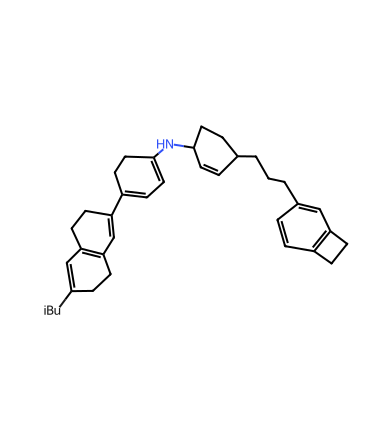 CCC(C)C1=CC2=C(C=C(C3=CC=C(NC4C=CC(CCCc5ccc6c(c5)CC6)CC4)CC3)CC2)CC1